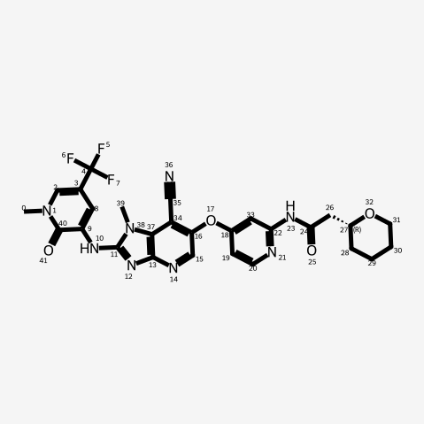 Cn1cc(C(F)(F)F)cc(Nc2nc3ncc(Oc4ccnc(NC(=O)C[C@H]5CCCCO5)c4)c(C#N)c3n2C)c1=O